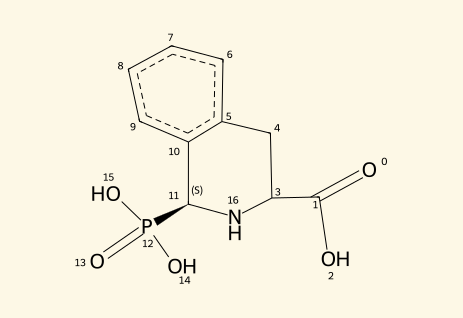 O=C(O)C1Cc2ccccc2[C@H](P(=O)(O)O)N1